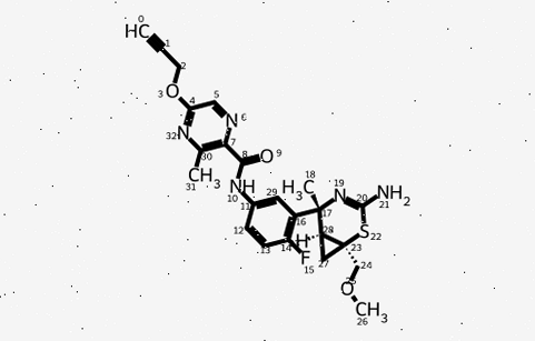 C#CCOc1cnc(C(=O)Nc2ccc(F)c([C@]3(C)N=C(N)S[C@@]4(COC)C[C@H]43)c2)c(C)n1